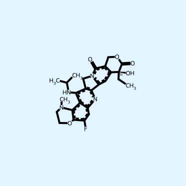 CC[C@@]1(O)C(=O)OCc2c1cc1n(c2=O)Cc2c-1nc1cc(F)c3c(c1c2NC(C)C)N(C)CCO3